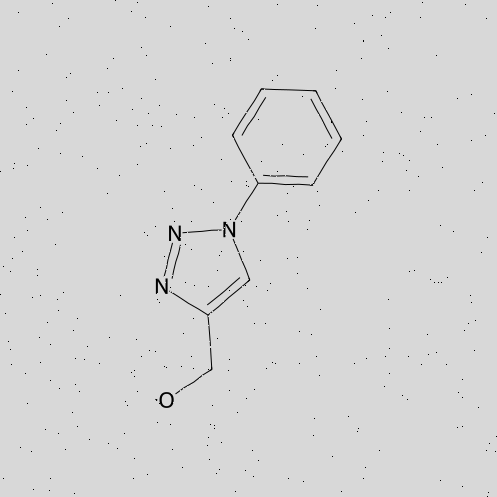 [O]Cc1cn(-c2ccccc2)nn1